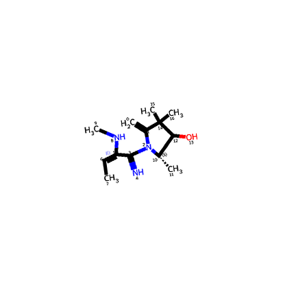 C=C1N(C(=N)/C(=C\C)NC)[C@@H](C)C(O)C1(C)C